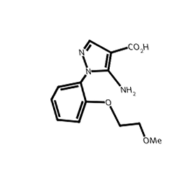 COCCOc1ccccc1-n1ncc(C(=O)O)c1N